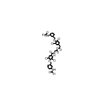 CCC(=O)Nc1cccc(COc2c(Cl)cc(CC(=O)OC(=O)CNC(=O)c3cc(Cl)c(OCc4cccc(NC(=O)CC)c4)c(Cl)c3)cc2Cl)c1